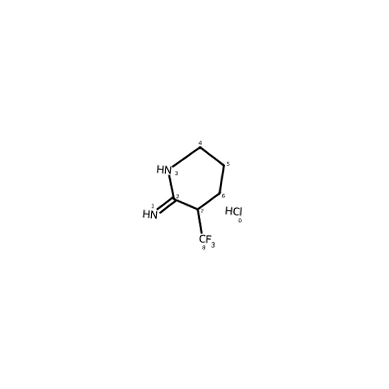 Cl.N=C1NCCCC1C(F)(F)F